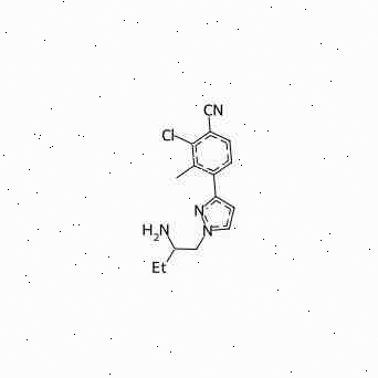 CCC(N)Cn1ccc(-c2ccc(C#N)c(Cl)c2C)n1